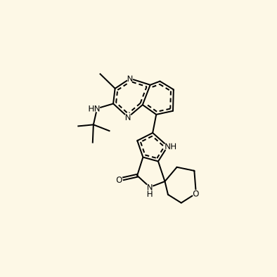 Cc1nc2cccc(-c3cc4c([nH]3)C3(CCOCC3)NC4=O)c2nc1NC(C)(C)C